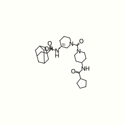 O=C(NC1CCN(C(=O)N2CCC[C@H](NC(=O)C34CC5CC(C3)C(O)C(C5)C4)C2)CC1)C1CCCC1